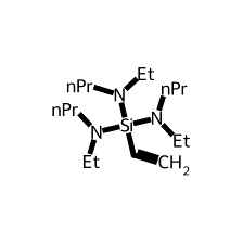 C=C[Si](N(CC)CCC)(N(CC)CCC)N(CC)CCC